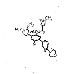 CC1CN(c2cc(F)c(-c3cnc(N4CCOCC4)nc3)cc2NC(=O)c2cnn(C)c2)CCN1C